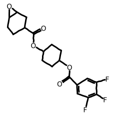 O=C(OC1CCC(OC(=O)C2CCC3OC3C2)CC1)c1cc(F)c(F)c(F)c1